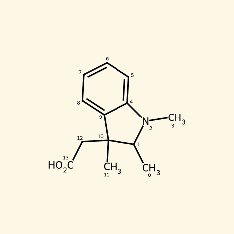 CC1N(C)c2ccccc2C1(C)CC(=O)O